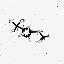 CC(=O)Nc1nc(C(Cl)(Cl)Cl)ns1